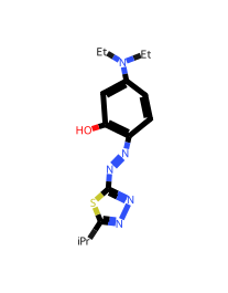 CCN(CC)c1ccc(N=Nc2nnc(C(C)C)s2)c(O)c1